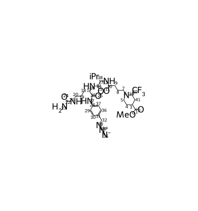 COC(=O)C1CCN(CCCC(=O)N[C@H](C(=O)N[C@@H](CCCNC(N)=O)C(=O)Nc2ccc(CN=[N+]=[N-])cc2)C(C)C)C(C(F)(F)F)C1